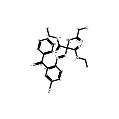 CCOC(=O)C(N=Nc1ccc(Cl)cc1C(=O)c1ccccc1)(NC(=O)CCl)C(=O)OCC